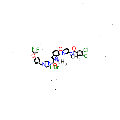 Br.CN(C(=O)c1ccc(Cl)c(Cl)c1)c1ccc(Oc2ccc3cc(C(=O)N4CCN(Cc5ccc(OC(CF)CF)cc5)CC4)n(C)c3c2)nc1